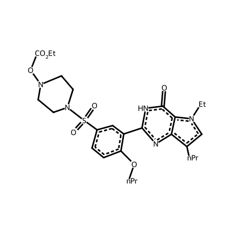 CCCOc1ccc(S(=O)(=O)N2CCN(OC(=O)OCC)CC2)cc1-c1nc2c(CCC)cn(CC)c2c(=O)[nH]1